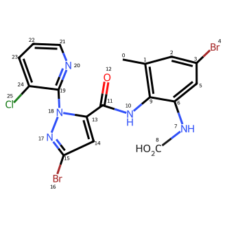 Cc1cc(Br)cc(NC(=O)O)c1NC(=O)c1cc(Br)nn1-c1ncccc1Cl